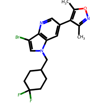 Cc1noc(C)c1-c1cnc2c(Br)cn(CC3CCC(F)(F)CC3)c2c1